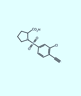 [C]#Cc1ccc(S(=O)(=O)N2CCCC2C(=O)O)cc1Cl